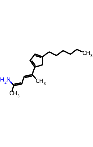 CCCCCCC1=CC=C(/C(C)=C/C=C(/C)N)C1